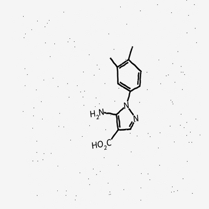 Cc1ccc(-n2ncc(C(=O)O)c2N)cc1C